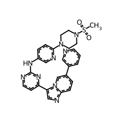 CS(=O)(=O)N1CCN(c2ccc(Nc3nccc(-c4cnc5ccc(-c6cccnc6)cn45)n3)cn2)CC1